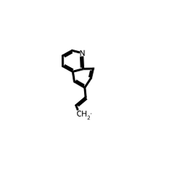 [CH2]C=Cc1ccc2ncccc2c1